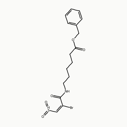 O=C(CCCCCNC(=O)/C(Br)=C\[SH](=O)=O)OCc1ccccc1